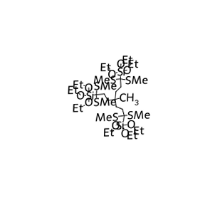 CCO[Si](OCC)(OCC)C(CCC(C)(CCC(SC)(SC)[Si](OCC)(OCC)OCC)CCC(SC)(SC)[Si](OCC)(OCC)OCC)(SC)SC